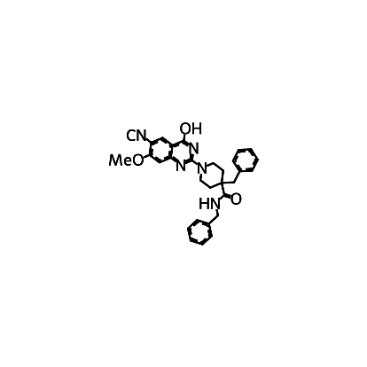 [C-]#[N+]c1cc2c(O)nc(N3CCC(Cc4ccccc4)(C(=O)NCc4ccccc4)CC3)nc2cc1OC